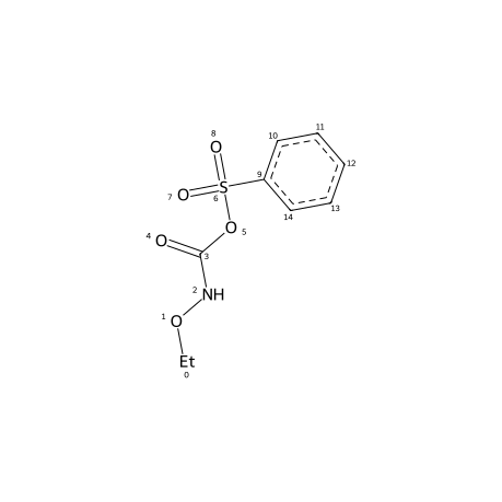 CCONC(=O)OS(=O)(=O)c1ccccc1